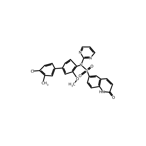 COc1cc(-c2ccc(Cl)c(C)c2)ccc1N(c1ncccn1)S(=O)(=O)c1ccc2[nH]c(=O)ccc2c1